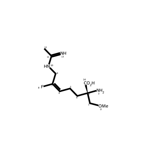 COC[C@@](N)(CC/C=C(/F)CNC(C)=N)C(=O)O